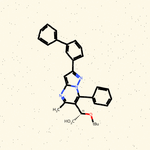 Cc1nc2cc(-c3cccc(-c4ccccc4)c3)nn2c(-c2ccccc2)c1[C@H](OC(C)(C)C)C(=O)O